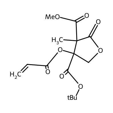 C=CC(=O)OC1(C(=O)OC(C)(C)C)COC(=O)C1(C)C(=O)OC